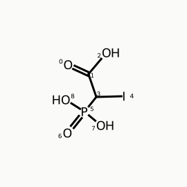 O=C(O)C(I)P(=O)(O)O